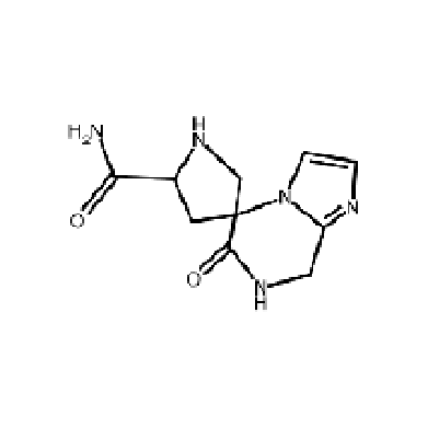 NC(=O)C1CC2(CN1)C(=O)NCc1nccn12